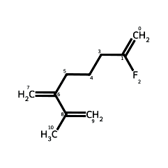 C=C(F)CCCC(=C)C(=C)C